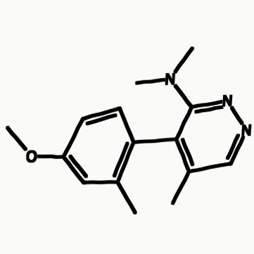 COc1ccc(-c2c(C)cnnc2N(C)C)c(C)c1